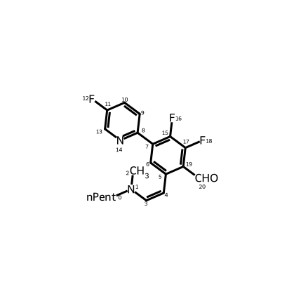 CCCCCN(C)/C=C\c1cc(-c2ccc(F)cn2)c(F)c(F)c1C=O